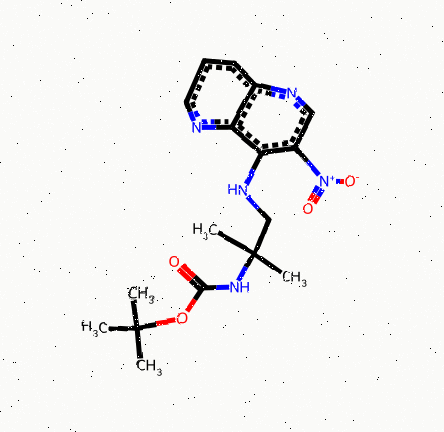 CC(C)(CNc1c([N+](=O)[O-])cnc2cccnc12)NC(=O)OC(C)(C)C